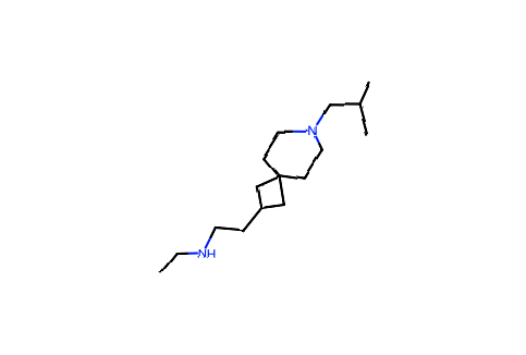 CCNCCC1CC2(CCN(CC(C)C)CC2)C1